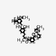 CNc1cc(CNc2ccc(CC[C@H](C)NC(=O)c3cccc(C(=O)N4CCC[C@@H]4c4nc(C)cs4)c3)cc2O)cc(C(F)(F)F)c1